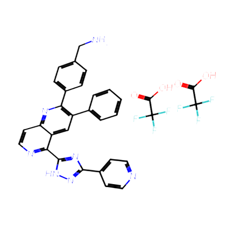 NCc1ccc(-c2nc3ccnc(-c4nc(-c5ccncc5)n[nH]4)c3cc2-c2ccccc2)cc1.O=C(O)C(F)(F)F.O=C(O)C(F)(F)F